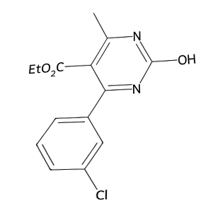 CCOC(=O)c1c(C)nc(O)nc1-c1cccc(Cl)c1